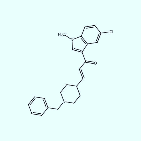 Cn1cc(C(=O)/C=C/C2CCN(Cc3ccccc3)CC2)c2cc(Cl)ccc21